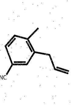 C=CCc1cc(C#N)ccc1C